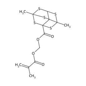 C=C(C)C(=O)OCOC(=O)C12CC3SC(C)(SC(C)(S3)S1)S2